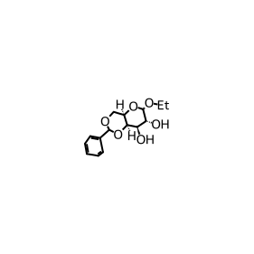 CCO[C@@H]1O[C@@H]2COC(c3ccccc3)O[C@@H]2[C@H](O)[C@H]1O